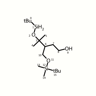 CC(C)(C)[SiH2]OC(C)(C)C(CCO)CO[Si](C)(C)C(C)(C)C